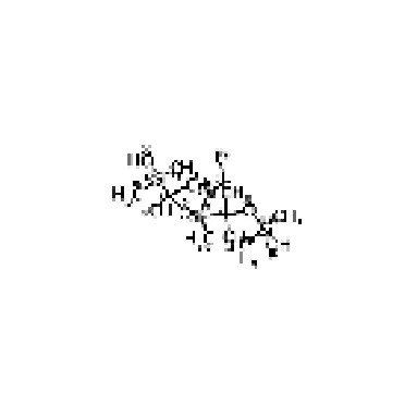 CC(C)(O[Si](C)(CCF)C(C)(C)O[Si](C)(C)O)[Si](C)(C)O